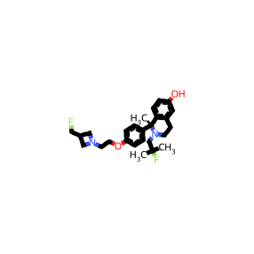 CC(C)(F)CN1CCc2cc(O)ccc2[C@@]1(C)c1ccc(OCCN2CC(CF)C2)cc1